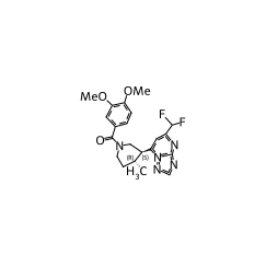 COc1ccc(C(=O)N2CC[C@@H](C)[C@H](c3cc(C(F)F)nc4ncnn34)C2)cc1OC